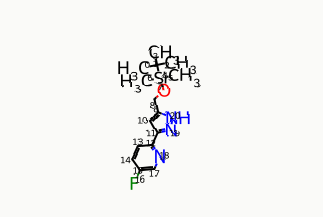 CC(C)(C)[Si](C)(C)OCc1cc(-c2ccc(F)cn2)n[nH]1